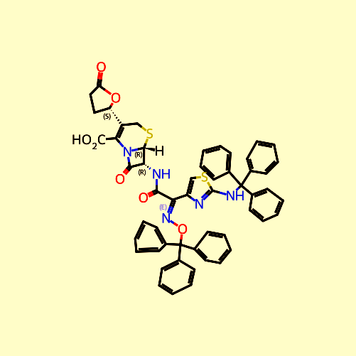 O=C1CC[C@@H](C2=C(C(=O)O)N3C(=O)[C@@H](NC(=O)/C(=N/OC(c4ccccc4)(c4ccccc4)c4ccccc4)c4csc(NC(c5ccccc5)(c5ccccc5)c5ccccc5)n4)[C@H]3SC2)O1